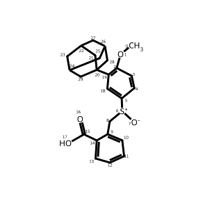 COc1ccc([S+]([O-])Cc2ccccc2C(=O)O)cc1C12CC3CC(CC(C3)C1)C2